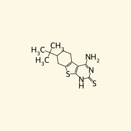 CC(C)(C)C1CCc2c(sc3[nH]c(=S)nc(N)c23)C1